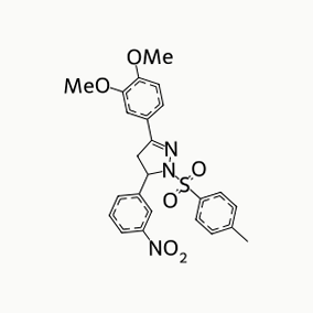 COc1ccc(C2=NN(S(=O)(=O)c3ccc(C)cc3)C(c3cccc([N+](=O)[O-])c3)C2)cc1OC